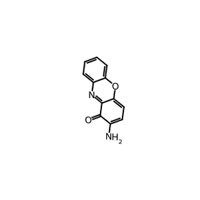 Nc1ccc2oc3ccccc3nc-2c1=O